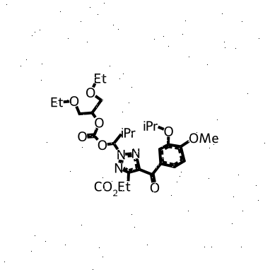 CCOCC(COCC)OC(=O)OC(C(C)C)n1nc(C(=O)OCC)c(C(=O)c2ccc(OC)c(OC(C)C)c2)n1